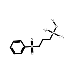 [3H]O[Si](C)(C)CCCS(=O)(=O)c1ccccc1